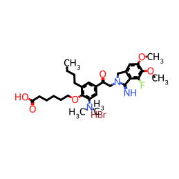 Br.CCCCc1cc(C(=O)CN2Cc3cc(OC)c(OC)c(F)c3C2=N)cc(N(C)C)c1OCCCCCC(=O)O